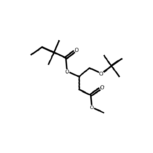 CCC(C)(C)C(=O)OC(COC(C)(C)C)CC(=O)OC